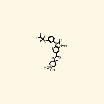 CC(C)n1c(=O)n(-c2cccc(OC(F)(F)C(F)F)c2)c2ncc(C(=O)NC3(C)CCS(O)(O)CC3)cc21